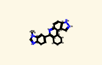 CN1C=NC2CC=C(c3nc4ccc5[nH]ncc5c4c4c3CCCC4)C=C21